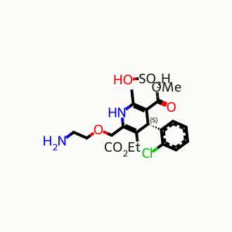 CCOC(=O)C1=C(COCCN)NC(C)=C(C(=O)OC)[C@@H]1c1ccccc1Cl.O=S(=O)(O)O